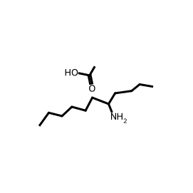 CC(=O)O.CCCCCCC(N)CCCC